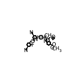 COC(=O)c1ccc2nc([C@H](C)N3CCN(c4cc(C#N)cc(OCc5ccc(C#N)cc5F)n4)CC3)n(C[C@@H]3CCO3)c2c1